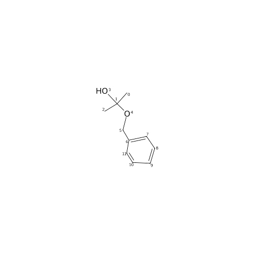 CC(C)(O)OCc1ccccc1